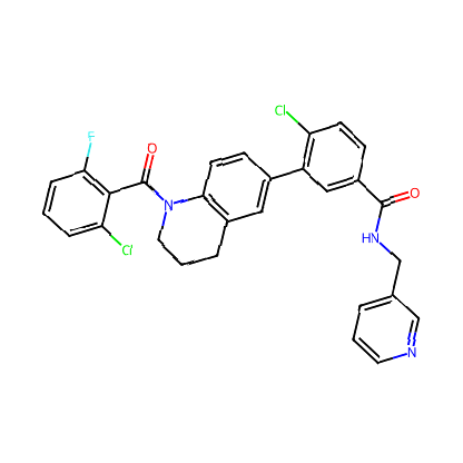 O=C(NCc1cccnc1)c1ccc(Cl)c(-c2ccc3c(c2)CCCN3C(=O)c2c(F)cccc2Cl)c1